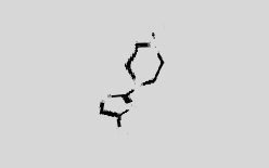 CN1CCN(c2nc(C(C)(C)C)co2)CC1